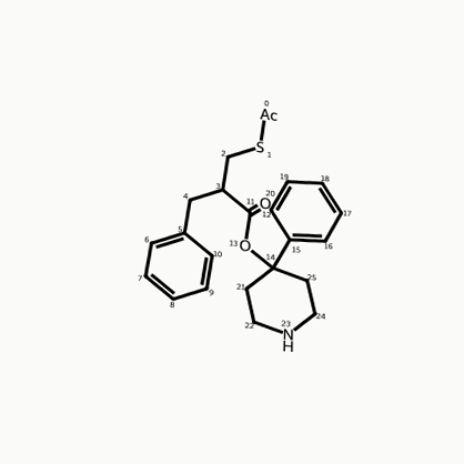 CC(=O)SCC(Cc1ccccc1)C(=O)OC1(c2ccccc2)CCNCC1